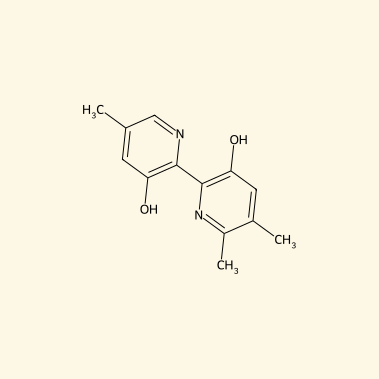 Cc1cnc(-c2nc(C)c(C)cc2O)c(O)c1